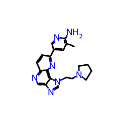 Cc1cc(-c2ccc3ncc4ncn(CCN5CCCC5)c4c3n2)cnc1N